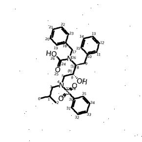 CC(C)CN(C[C@@H](O)[C@H](Cc1ccccc1)N(Cc1ccccc1)C(=O)O)S(=O)(=O)c1ccccc1